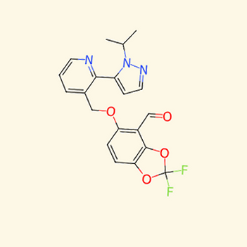 CC(C)n1nccc1-c1ncccc1COc1ccc2c(c1C=O)OC(F)(F)O2